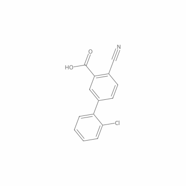 N#Cc1ccc(-c2ccccc2Cl)cc1C(=O)O